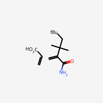 C=C(C(N)=O)C(C)(C)CC(C)(C)C.C=CC(=O)O